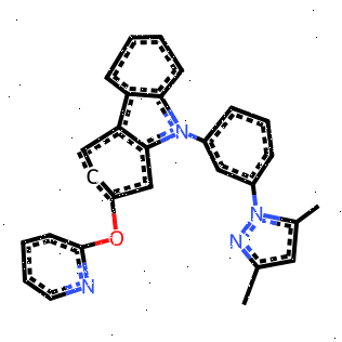 Cc1cc(C)n(-c2cccc(-n3c4ccccc4c4ccc(Oc5ccccn5)cc43)c2)n1